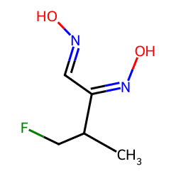 CC(CF)C(C=NO)=NO